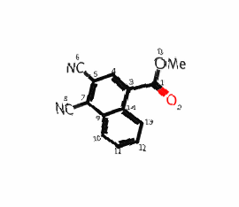 COC(=O)c1cc(C#N)c(C#N)c2ccccc12